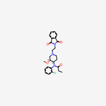 CCC(=O)N(c1ccccc1F)[C@@H]1CCN(CCN2C(=O)c3ccccc3C2=O)C[C@@H]1OC